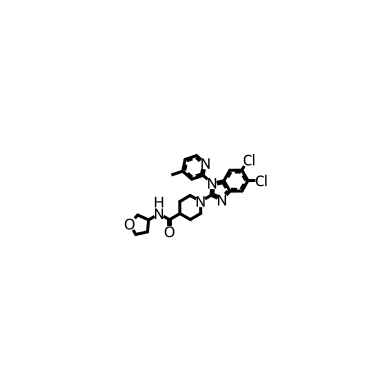 Cc1ccnc(-n2c(N3CCC(C(=O)NC4CCOC4)CC3)nc3cc(Cl)c(Cl)cc32)c1